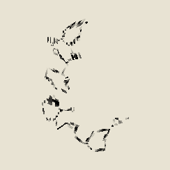 COc1cccc(COCC2CCN(c3ccc(C(=O)Nc4ccccc4N)cc3)C2=O)c1